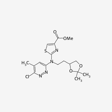 COC(=O)c1csc(N(CCC2COC(C)(C)O2)c2cc(C)c(Cl)nn2)n1